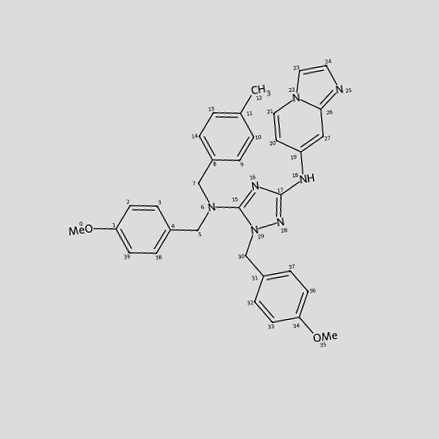 COc1ccc(CN(Cc2ccc(C)cc2)c2nc(Nc3ccn4ccnc4c3)nn2Cc2ccc(OC)cc2)cc1